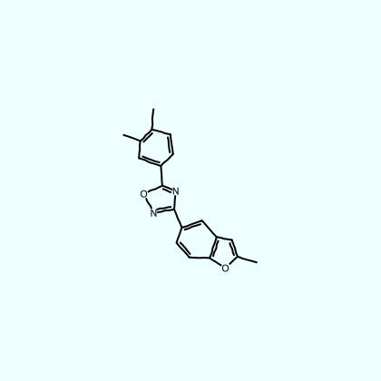 Cc1cc2cc(-c3noc(-c4ccc(C)c(C)c4)n3)ccc2o1